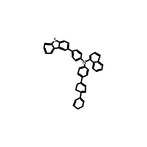 C1=CC(C2=CC=C(c3ccc(N(c4ccc(-c5ccc6sc7ccccc7c6c5)cc4)c4cccc5ccccc45)cc3)CC2)=CCC1